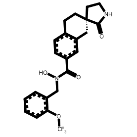 O=C(c1ccc2c(c1)C[C@@]1(CCNC1=O)CC2)N(O)Cc1ccccc1OC(F)(F)F